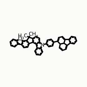 CC1(C)c2ccc3c(c2-c2ccc4c(oc5ccccc54)c21)c1ccccc1n3-c1ccc(C2=CC=C3c4ccccc4C4=CC=CC2C43)cc1